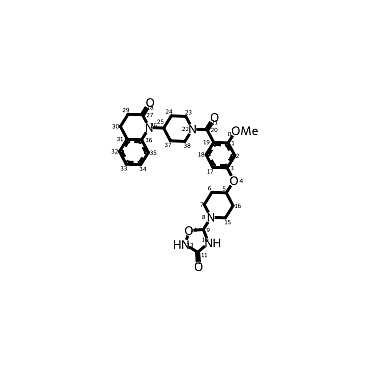 COc1cc(OC2CCN(C3NC(=O)NO3)CC2)ccc1C(=O)N1CCC(N2C(=O)CCc3ccccc32)CC1